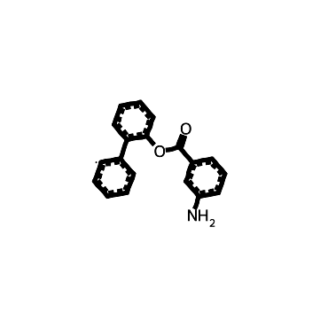 Nc1cccc(C(=O)Oc2ccccc2-c2[c]cccc2)c1